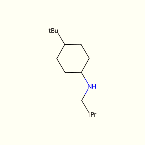 CC(C)CNC1CCC(C(C)(C)C)CC1